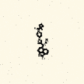 CC1(C(=O)N2CCC(n3cc(C(N=[N+]=[N-])c4ccc5c6c(cccc46)C(=O)N5)cn3)CC2)CCC1